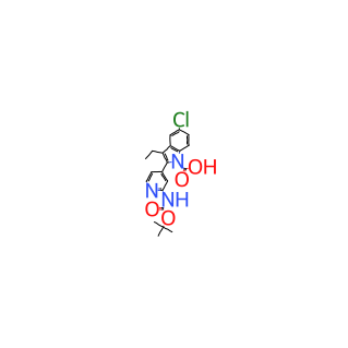 CCc1c(-c2ccnc(NC(=O)OC(C)(C)C)c2)n(C(=O)O)c2ccc(Cl)cc12